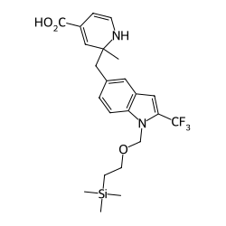 CC1(Cc2ccc3c(c2)cc(C(F)(F)F)n3COCC[Si](C)(C)C)C=C(C(=O)O)C=CN1